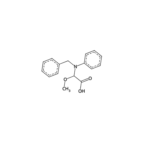 COC(C(=O)O)N(Cc1ccccc1)c1ccccc1